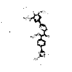 COc1cc(C2=CCC(C(=O)C(OC)c3ccc(-c4nnc(C)o4)cc3)O2)cc(OC)c1F